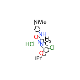 CNCc1ccc(NC(=O)c2cc(C)n(Cc3cc(Cl)cc4cc(C(C)C)oc34)n2)cc1.Cl